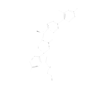 C[C@@H](c1ccc(-c2ccc(F)cc2F)cc1)N1CC[C@](CCNCCO)(c2ccc(F)cc2)CC1=O